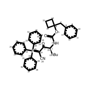 CCCC[C@H](NC(=O)OC1(Cc2ccccc2)CCC1)C(=O)C(C#N)=P(c1ccccc1)(c1ccccc1)c1ccccc1